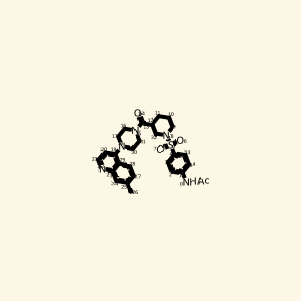 CC(=O)Nc1ccc(S(=O)(=O)N2CCCC(C(=O)N3CCN(c4ccnc5cc(C)ccc45)CC3)C2)cc1